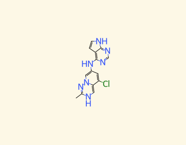 CC1=NN2C=C(Nc3ncnc4[nH]ccc34)C=C(Cl)C2=CN1